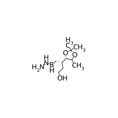 CC1OC(C)(C)O[C@H]1[C@@H](CBNN)CCO